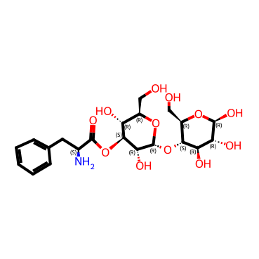 N[C@@H](Cc1ccccc1)C(=O)O[C@@H]1[C@@H](O)[C@@H](O[C@H]2[C@H](O)[C@@H](O)[C@H](O)O[C@@H]2CO)O[C@H](CO)[C@H]1O